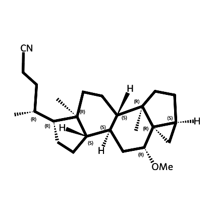 CO[C@@H]1C[C@H]2[C@@H]3CC[C@H]([C@H](C)CCC#N)[C@@]3(C)CC[C@@H]2[C@@]2(C)CC[C@H]3C[C@]312